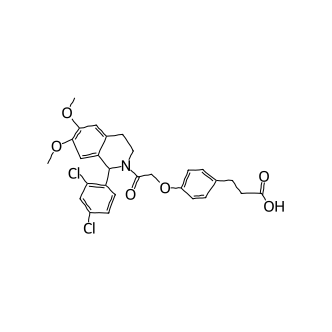 COc1cc2c(cc1OC)C(c1ccc(Cl)cc1Cl)N(C(=O)COc1ccc(CCC(=O)O)cc1)CC2